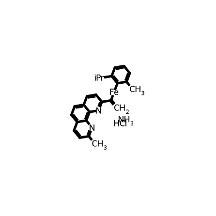 C=[C]([Fe][c]1c(C)cccc1C(C)C)c1ccc2ccc3ccc(C)nc3c2n1.Cl.N